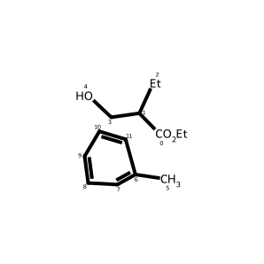 CCOC(=O)C(CC)CO.Cc1ccccc1